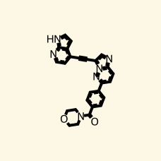 O=C(c1ccc(-c2ccc3ncc(C#Cc4ccnc5[nH]ccc45)n3n2)cc1)N1CCOCC1